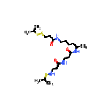 CC(CCCCNC(=O)CCSSC(C)C)NC(=O)CCNC(=O)CCNSC(C)C